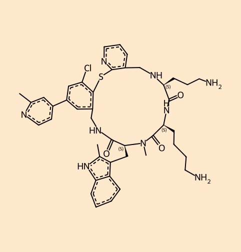 Cc1cc(-c2cc(Cl)c3c(c2)CNC(=O)[C@H](Cc2c(C)[nH]c4ccccc24)N(C)C(=O)[C@H](CCCCN)NC(=O)[C@H](CCCN)NCc2cccnc2S3)ccn1